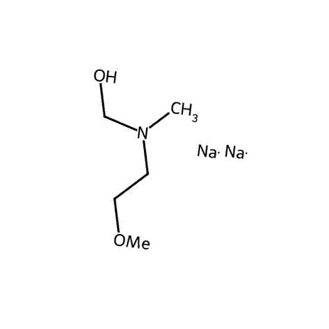 COCCN(C)CO.[Na].[Na]